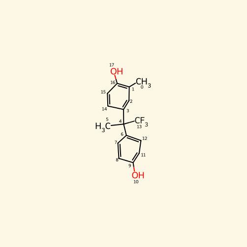 Cc1cc(C(C)(c2ccc(O)cc2)C(F)(F)F)ccc1O